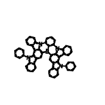 c1ccc(-n2c3ccccc3c3cc4c5c(c6ccccc6n5-c5cccc6c5B4c4cc5c7ccccc7n(-c7ccccc7)c5c5c7ccccc7n-6c45)c32)cc1